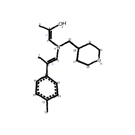 C/C(O)=C/N(/C=C(\C)c1ccc(C)cc1)CC1CCOCC1